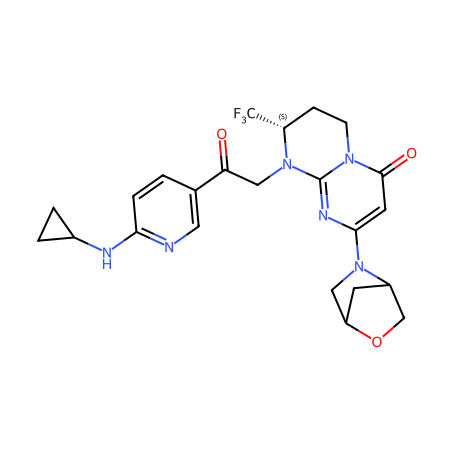 O=C(CN1c2nc(N3CC4CC3CO4)cc(=O)n2CC[C@H]1C(F)(F)F)c1ccc(NC2CC2)nc1